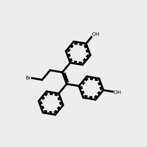 Oc1ccc(C(CCBr)=C(c2ccccc2)c2ccc(O)cc2)cc1